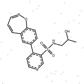 CC(O)CNS(=O)(=O)c1cnccc1-c1ccc2c(c1)C=CC=NO2